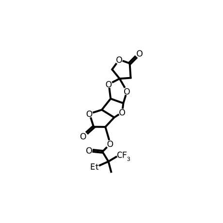 CCC(C)(C(=O)OC1C(=O)OC2C3OC4(COC(=O)C4)OC3OC12)C(F)(F)F